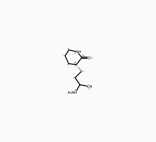 CC(=O)NC(C#N)CC[C@@H]1CCCNC1=O